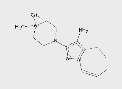 C[N+]1(C)CCN(c2nn3c(c2N)CCCC=C3)CC1